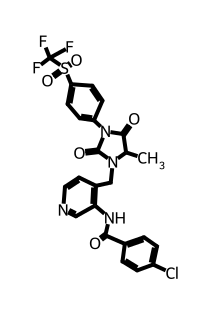 CC1C(=O)N(c2ccc(S(=O)(=O)C(F)(F)F)cc2)C(=O)N1Cc1ccncc1NC(=O)c1ccc(Cl)cc1